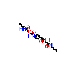 CCCCCNC(=O)CCNC(=O)Cc1ccc(NC(=O)COCC(=O)NCCCC)cc1